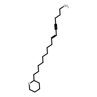 CCCCC#C/C=C/CCCCCCCCC1CCCCO1